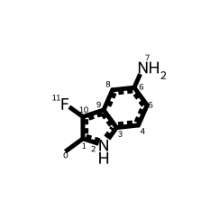 Cc1[nH]c2ccc(N)cc2c1F